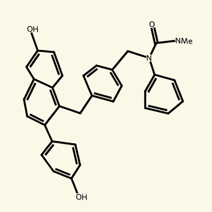 CNC(=O)N(Cc1ccc(Cc2c(-c3ccc(O)cc3)ccc3cc(O)ccc23)cc1)c1ccccc1